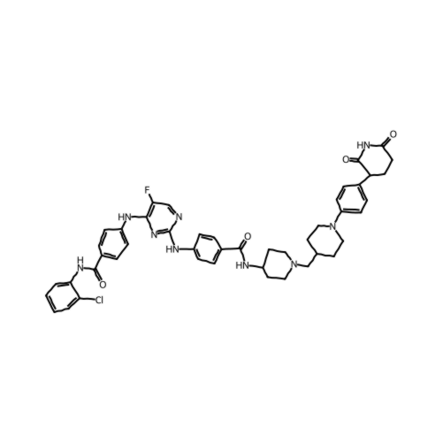 O=C1CCC(c2ccc(N3CCC(CN4CCC(NC(=O)c5ccc(Nc6ncc(F)c(Nc7ccc(C(=O)Nc8ccccc8Cl)cc7)n6)cc5)CC4)CC3)cc2)C(=O)N1